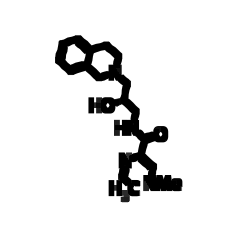 C/C=N\C(=C/NC)C(=O)NC[C@@H](O)CN1CCc2ccccc2C1